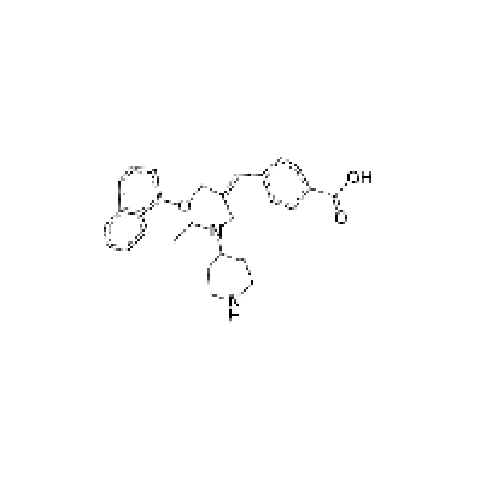 CCN(C/C(=C\c1ccc(C(=O)O)cc1)COc1cccc2ccccc12)C1CCNCC1